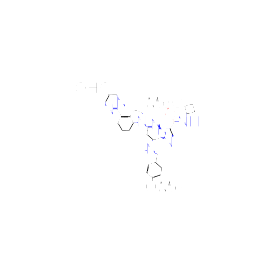 COc1ccc(CN(C)c2cc(N3CCc4c(-c5ncc(C=O)cn5)cccc43)nn3c(C(=O)N[C@@H]4CC[C@H]4OC)cnc23)cc1